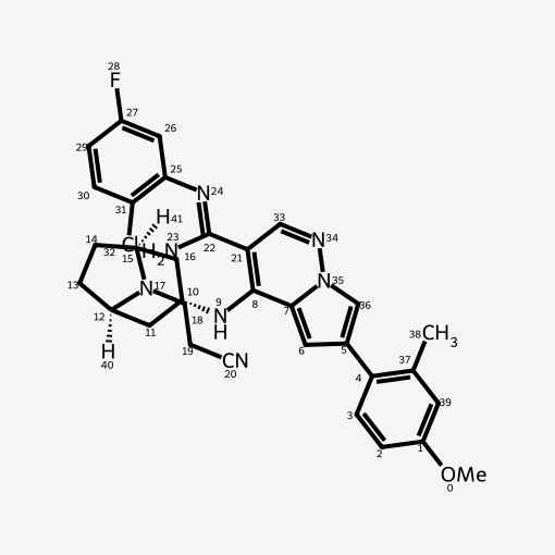 COc1ccc(-c2cc3c(N[C@@H]4C[C@H]5CC[C@@H](C4)N5CCC#N)c(/C(N)=N/c4cc(F)ccc4Cl)cnn3c2)c(C)c1